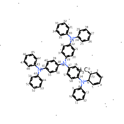 C[C@H]1C=CC=CC1N(c1ccccc1)c1ccc(N(c2ccc(N(c3ccccc3)c3ccccc3)cc2)c2ccc(N(c3ccccc3)c3ccccc3)cc2)cc1